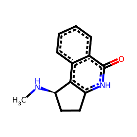 CN[C@@H]1CCc2[nH]c(=O)c3ccccc3c21